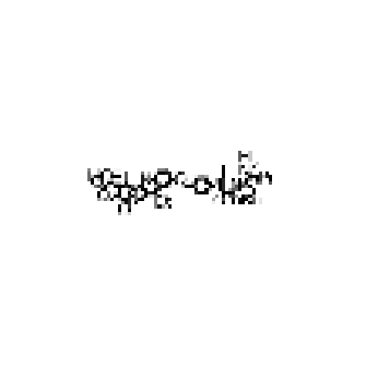 CCCC[C@H](NC(=O)[C@@H](N)C(C)C)C(=O)Nc1ccc(COc2ccc3nc4c(c(CC)c3c2)Cn2c-4cc3c(c2=O)COC(=O)[C@]3(O)CC)cc1